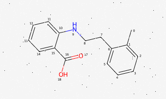 Cc1ccccc1CCNc1ccccc1C(=O)O